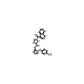 N#Cc1ccc(Cn2cncc2CNC2CCN(C(=O)c3cncc4ccccc34)C2)cc1